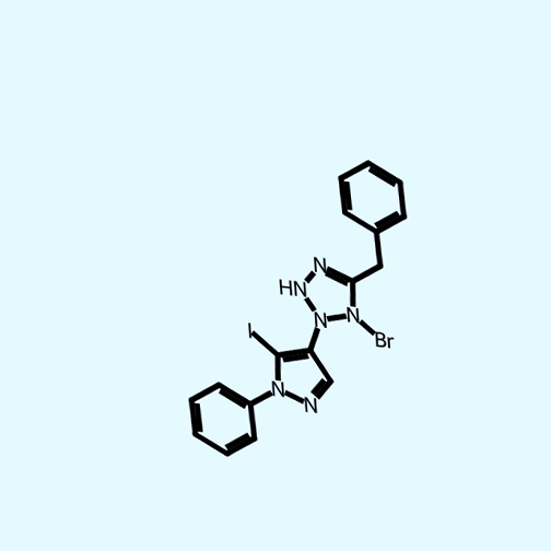 BrN1C(Cc2ccccc2)=NNN1c1cnn(-c2ccccc2)c1I